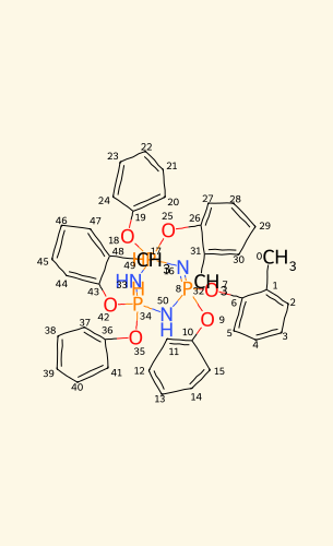 Cc1ccccc1OP1(Oc2ccccc2)=N[PH](Oc2ccccc2)(Oc2ccccc2C)N[PH](Oc2ccccc2)(Oc2ccccc2C)N1